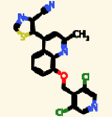 Cc1cc(-c2scnc2C#N)c2cccc(OCc3c(Cl)cncc3Cl)c2n1